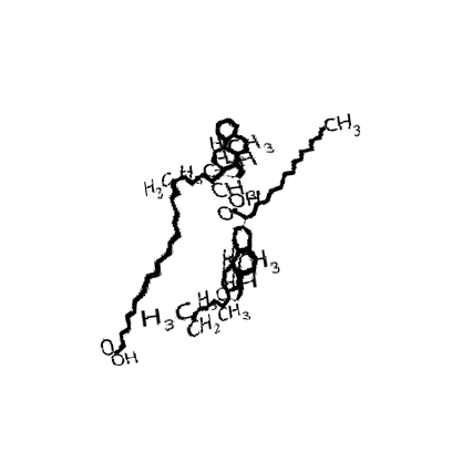 C=C(C)CCC[C@@H](C)[C@H]1CC[C@H]2[C@@H]3CC=C4C[C@@H](C(CCCCCCCCCCCCCCC)C(=O)O)CC[C@]4(C)[C@H]3CC[C@]12C.CC(=CCCCCCCCCCCCCCCCCC(=O)O)CCC[C@@H](C)[C@H]1CC[C@H]2[C@@H]3CCC4CCCC[C@]4(C)[C@H]3CC[C@]12C